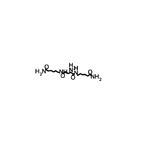 NC(=O)CCCCCNC(=O)CCC(N)C(=O)NCCCCCC(N)=O